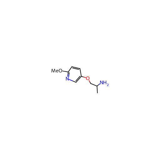 COc1ccc(OCC(C)N)cn1